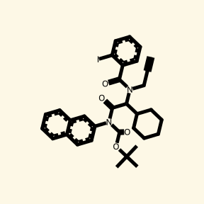 C#CCN(C(=O)c1ccccc1I)C(C(=O)N(C(=O)OC(C)(C)C)c1ccc2ccccc2c1)C1CCCCC1